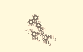 N[C@@H]1C[C@H](N)CN(c2nc(Nc3ccc(-n4c5ccccc5c5ccccc54)cc3)nc(N3C[C@H](N)C[C@H](N)C3)n2)C1